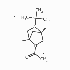 CC(=O)N1C[C@@H]2C[C@H]1CN2C(C)(C)C